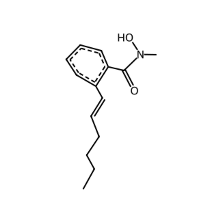 CCCC/C=C/c1ccccc1C(=O)N(C)O